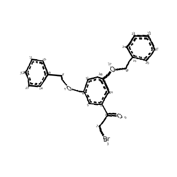 O=C(CBr)c1cc(OCc2ccccc2)cc(OCc2ccccc2)c1